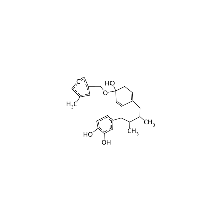 Cc1cccc(COC2(O)C=CC(CC(C)C(C)Cc3ccc(O)c(O)c3)=CC2)c1